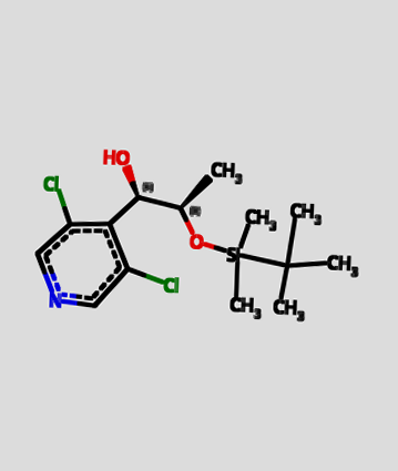 C[C@@H](O[Si](C)(C)C(C)(C)C)[C@H](O)c1c(Cl)cncc1Cl